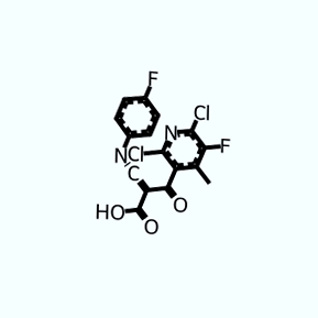 Cc1c(F)c(Cl)nc(Cl)c1C(=O)C(=C=Nc1ccc(F)cc1)C(=O)O